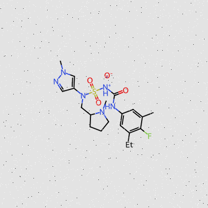 CCc1cc(NC(=O)[NH+]([O-])S(=O)(=O)N(CC2CCCN2C)c2cnn(C)c2)cc(C)c1F